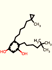 CC(C)(C)CCCCc1c(O)cc(O)cc1CCCCCC1(C)CC1